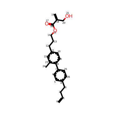 C=CCCc1ccc(-c2ccc(CCCOC(=O)C(=C)CO)cc2C)cc1